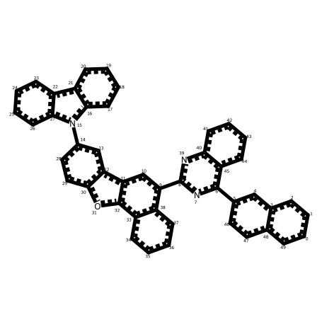 c1ccc2cc(-c3nc(-c4cc5c6cc(-n7c8ccccc8c8ccccc87)ccc6oc5c5ccccc45)nc4ccccc34)ccc2c1